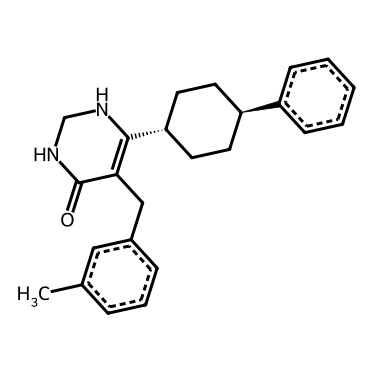 Cc1cccc(CC2=C([C@H]3CC[C@H](c4ccccc4)CC3)NCNC2=O)c1